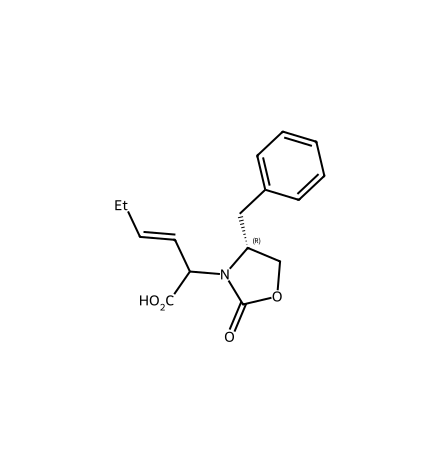 CCC=CC(C(=O)O)N1C(=O)OC[C@H]1Cc1ccccc1